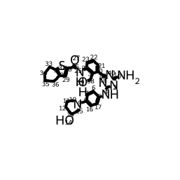 Nc1nc(Nc2ccc(N3CCCC(O)C3)cc2)nc(-c2cccc(NC(=O)c3cc4c(s3)CCCC4)c2CO)n1